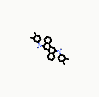 Cc1ccc(N(C)c2cc3c4ccccc4c(N(C)c4ccc(C)c(C)c4)cc3c3ccccc23)cc1C